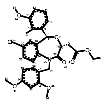 CCOC(=O)C[C@H]1O[C@H](c2cccc(OC)c2C)c2cc(Cl)ccc2N(Cc2ccc(OC)cc2OC)C1=O